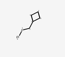 CCOCC1CCC1